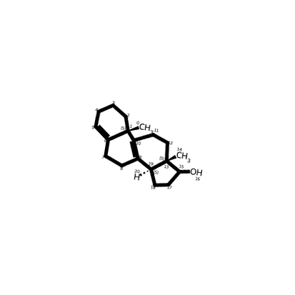 C[C@]12CCCC=C1CCC1=C2CC[C@]2(C)C(O)CC[C@@H]12